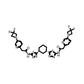 O=C(Cc1ccc(N2CC(F)(F)C2)cn1)Nc1nnc([C@H]2CCC[C@H](c3nnc(NC(=O)Cc4ccc(N5CC(F)(F)C5)cn4)s3)C2)s1